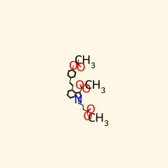 COC(=O)CCCn1cc(C(=O)OC)c2c(C=Cc3ccc(OC(C)=O)cc3)cccc21